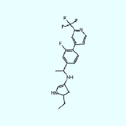 CCC1CC(NC(C)c2ccc(-c3ccnc(C(F)(F)F)c3)c(F)c2)=CN1